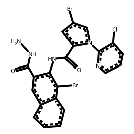 NNC(=O)c1cc2ccccc2c(Br)c1NC(=O)c1cc(Br)cn1-c1ncccc1Cl